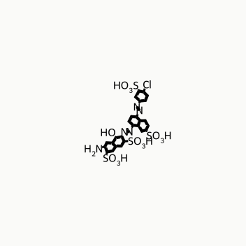 Nc1cc2c(O)c(N=Nc3ccc(N=Nc4ccc(Cl)c(S(=O)(=O)O)c4)c4ccc(S(=O)(=O)O)cc34)c(S(=O)(=O)O)cc2cc1S(=O)(=O)O